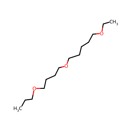 CCCOCCCCOCCCCCOCC